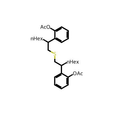 CCCCCCC(CSCC(CCCCCC)c1ccccc1OC(C)=O)c1ccccc1OC(C)=O